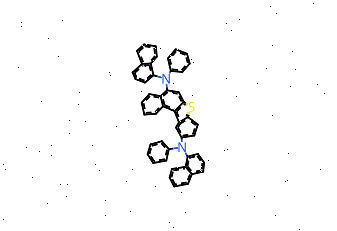 c1ccc(N(c2ccc3sc4cc(N(c5ccccc5)c5cccc6ccccc56)c5ccccc5c4c3c2)c2cccc3ccccc23)cc1